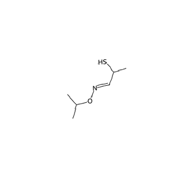 CC(S)/C=N/OC(C)C